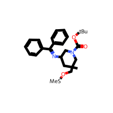 CSOCC1(C)CC(N=C(c2ccccc2)c2ccccc2)CN(C(=O)OC(C)(C)C)C1